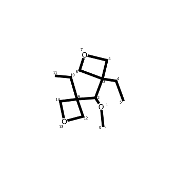 [CH2]OC(C1(CC)COC1)C1(CC)COC1